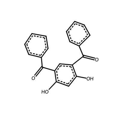 O=C(c1ccccc1)c1cc(C(=O)c2ccccc2)c(O)cc1O